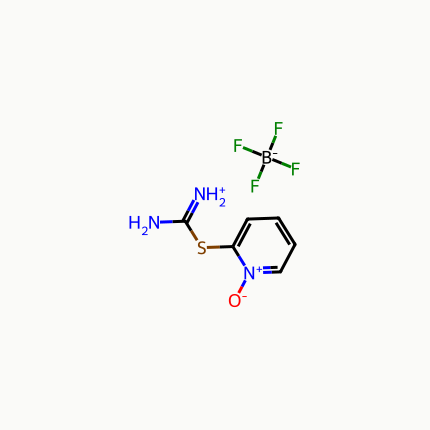 F[B-](F)(F)F.NC(=[NH2+])Sc1cccc[n+]1[O-]